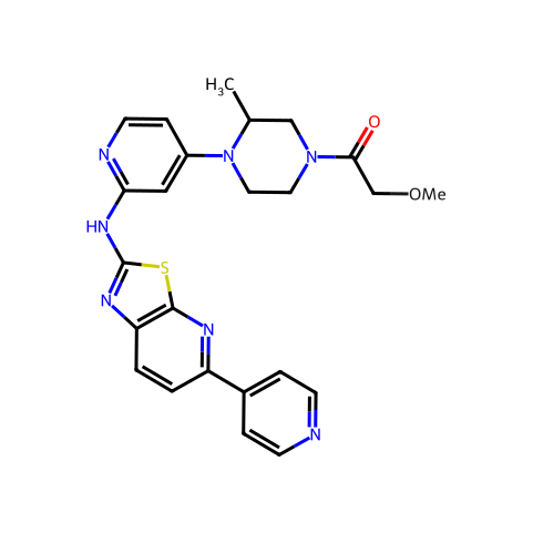 COCC(=O)N1CCN(c2ccnc(Nc3nc4ccc(-c5ccncc5)nc4s3)c2)C(C)C1